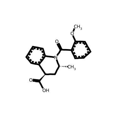 COc1ccccc1C(=O)N1c2ccccc2[C@H](C(=O)O)C[C@H]1C